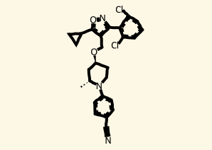 C[C@@H]1C[C@@H](OCc2c(-c3c(Cl)cccc3Cl)noc2C2CC2)CCN1c1ccc(C#N)cc1